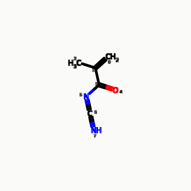 C=C(C)C(=O)N=C=N